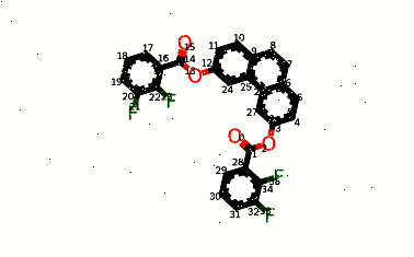 O=C(Oc1ccc2ccc3ccc(OC(=O)c4cccc(F)c4F)cc3c2c1)c1cccc(F)c1F